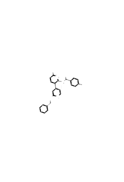 CC(Nc1nc(C(F)(F)F)ccc1-c1ccnc(OCc2ccccc2)c1)c1ccc(F)cc1